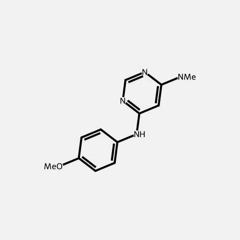 CNc1cc(Nc2ccc(OC)cc2)ncn1